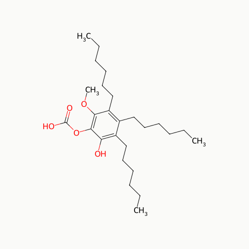 CCCCCCc1c(O)c(OC(=O)O)c(OC)c(CCCCCC)c1CCCCCC